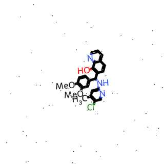 COc1ccc(C(Nc2cc(C)c(Cl)cn2)c2ccc3cccnc3c2O)cc1OC